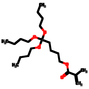 C=C(C)C(=O)OCCCC[Si](OCCCC)(OCCCC)OCCCC